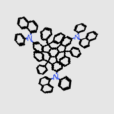 c1ccc(N(c2ccc3c(c2)C(c2ccccc2)(c2ccccc2)c2c-3c3c(c4c2-c2ccc(N(c5ccccc5)c5cccc6ccccc56)cc2C4(c2ccccc2)c2ccccc2)-c2ccc(N(c4ccccc4)c4cccc5ccccc45)cc2C3(c2ccccc2)c2ccccc2)c2cccc3ccccc23)cc1